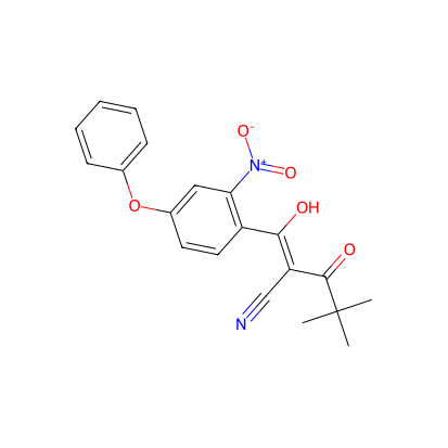 CC(C)(C)C(=O)/C(C#N)=C(\O)c1ccc(Oc2ccccc2)cc1[N+](=O)[O-]